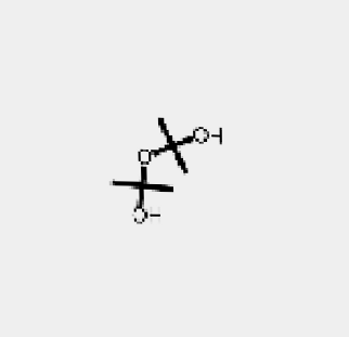 CC(C)(O)OC(C)(C)O